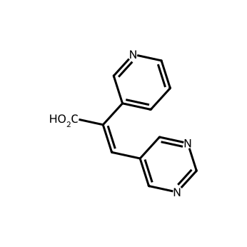 O=C(O)C(=Cc1cncnc1)c1cccnc1